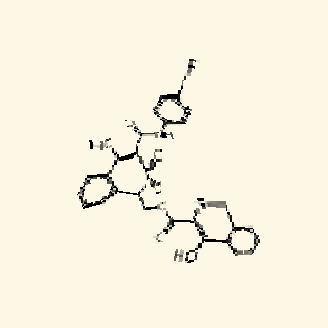 O=C(Nc1ccc(F)cc1)C1=C(O)c2ccccc2C(COC(=O)C2=C(O)c3ccccc3CS2)S1(=O)=O